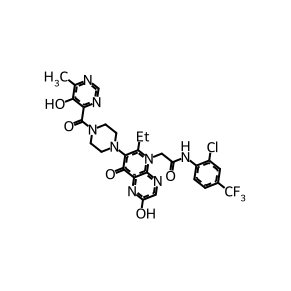 CCc1c(N2CCN(C(=O)c3ncnc(C)c3O)CC2)c(=O)c2nc(O)cnc2n1CC(=O)Nc1ccc(C(F)(F)F)cc1Cl